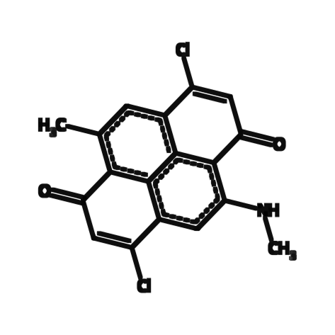 CNc1cc2c3c(c(C)cc4c3c1C(=O)C=C4Cl)C(=O)C=C2Cl